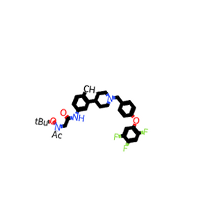 CC(=O)N(CC(=O)Nc1ccc(C)c(C2CCN(Cc3ccc(Oc4cc(F)c(F)cc4F)cc3)CC2)c1)OC(C)(C)C